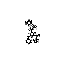 O=C(NS(=O)(=O)Cc1ccccc1)[C@H](CCCC1CCCCC1)CC(=O)N(O)c1cnno1